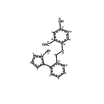 CC(C)n1nccc1-c1nccnc1COc1cnc(O)cc1C=O